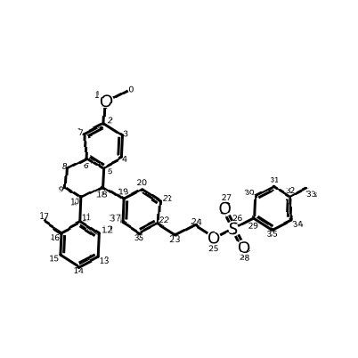 COc1ccc2c(c1)CCC(c1ccccc1C)C2c1ccc(CCOS(=O)(=O)c2ccc(C)cc2)cc1